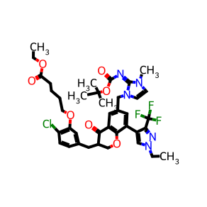 CCOC(=O)CCCCOc1cc(CC2COc3c(cc(Cn4ccn(C)/c4=N/C(=O)OC(C)(C)C)cc3-c3cn(CC)nc3C(F)(F)F)C2=O)ccc1Cl